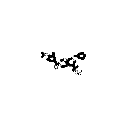 Cc1cc(C(=O)N2CCC3(CC(C(C)(C)O)CN(Cc4ccccc4)C3)OC2)ccc1OC(C)C